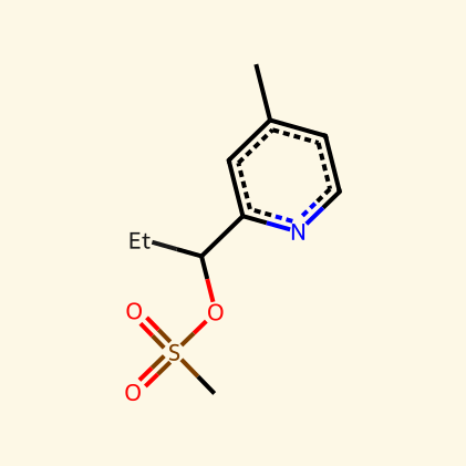 CCC(OS(C)(=O)=O)c1cc(C)ccn1